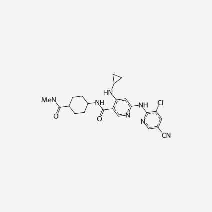 CNC(=O)C1CCC(NC(=O)c2cnc(Nc3ncc(C#N)cc3Cl)cc2NC2CC2)CC1